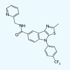 Cc1nc2c3cc(C(=O)NCc4ccccn4)ccc3n(-c3ccc(C(F)(F)F)cc3)c2s1